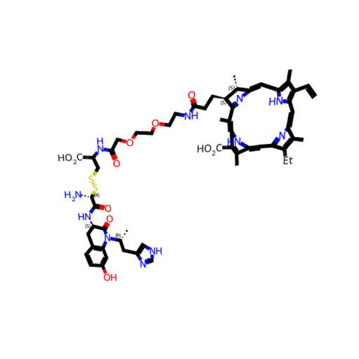 C=Cc1c(C)c2cc3nc(c(C)c4[nH]c(cc5nc(cc1[nH]2)C(C)=C5CC)c(C)c4C(=O)O)[C@@H](CCC(=O)NCCOCCOCC(=O)NC(CSS[C@@H](N)C(=O)N[C@H]1Cc2ccc(O)cc2N([C@H](C)Cc2c[nH]cn2)C1=O)C(=O)O)[C@@H]3C